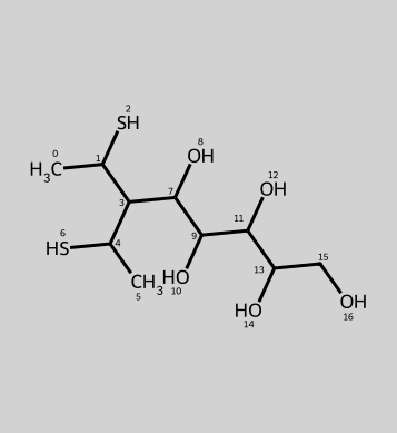 CC(S)C(C(C)S)C(O)C(O)C(O)C(O)CO